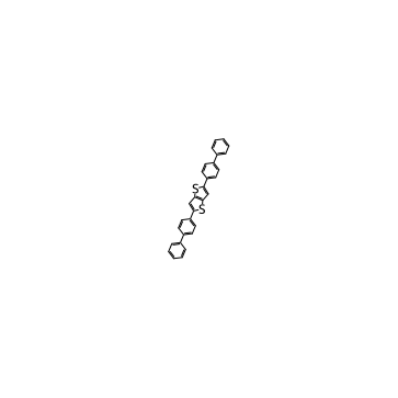 c1ccc(-c2ccc(-c3cc4sc(-c5ccc(-c6ccccc6)cc5)cc4s3)cc2)cc1